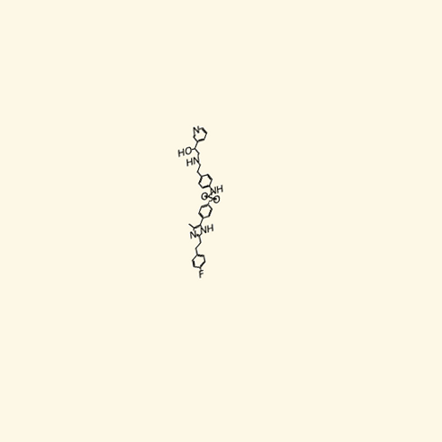 Cc1nc(CCc2ccc(F)cc2)[nH]c1-c1ccc(S(=O)(=O)Nc2ccc(CCNCC(O)c3cccnc3)cc2)cc1